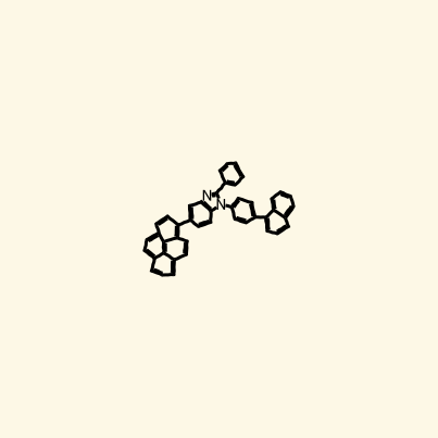 c1ccc(-c2nc3cc(-c4ccc5ccc6cccc7ccc4c5c67)ccc3n2-c2ccc(-c3cccc4ccccc34)cc2)cc1